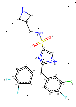 O=S(=O)(NCC1CNC1)c1c[nH]c(C(c2ccc(F)c(F)c2)c2ccc(F)c(Cl)c2)n1